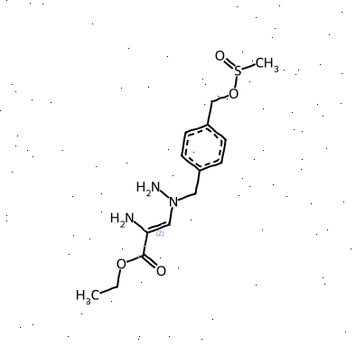 CCOC(=O)/C(N)=C/N(N)Cc1ccc(COS(C)=O)cc1